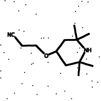 CC1(C)CC(OCCC#N)CC(C)(C)N1